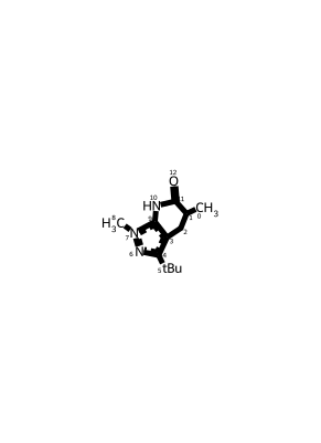 CC1Cc2c(C(C)(C)C)nn(C)c2NC1=O